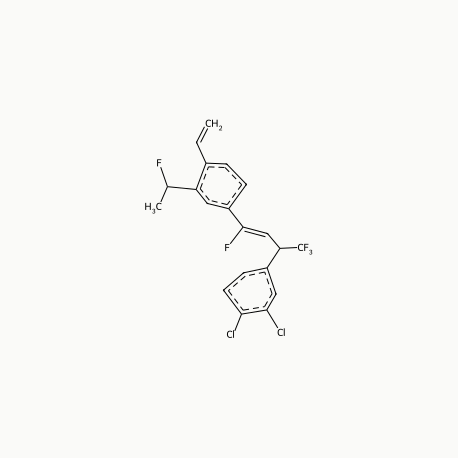 C=Cc1ccc(/C(F)=C/C(c2ccc(Cl)c(Cl)c2)C(F)(F)F)cc1C(C)F